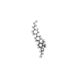 CC/C=C/C1CCC(C2CC=C(c3ccc(OCCC)c(F)c3F)CC2)CC1